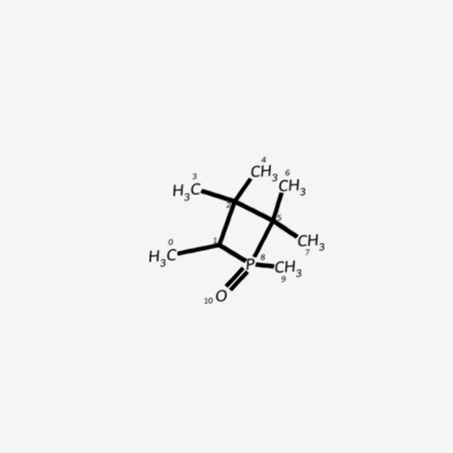 CC1C(C)(C)C(C)(C)P1(C)=O